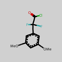 COc1cc(OC)cc(C(F)(F)C(=O)Cl)c1